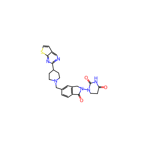 O=C1CCN(N2Cc3cc(CN4CCC(c5ncc6ccsc6n5)CC4)ccc3C2=O)C(=O)N1